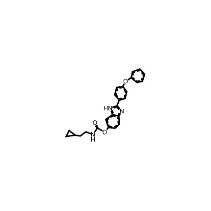 O=C(NCCC1CC1)Oc1ccc2nc(-c3ccc(Oc4ccccc4)cc3)[nH]c2c1